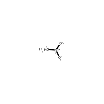 F.[O-][Br+2]([O-])O